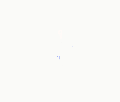 NC(=O)C1=CCC2CCN12